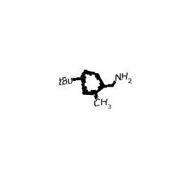 Cc1cc(C(C)(C)C)ccc1CN